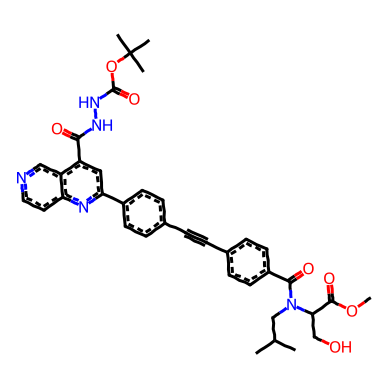 COC(=O)C(CO)N(CC(C)C)C(=O)c1ccc(C#Cc2ccc(-c3cc(C(=O)NNC(=O)OC(C)(C)C)c4cnccc4n3)cc2)cc1